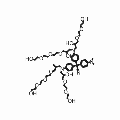 CC(COCCOCCOCCO)CN(CC(O)COCCOCCO)c1ccc(C(C#N)(c2ccc(N(C)C)cc2)c2ccc(N(CC(O)COCCOCCO)CC(O)COCCOCCOCCO)cc2)cc1